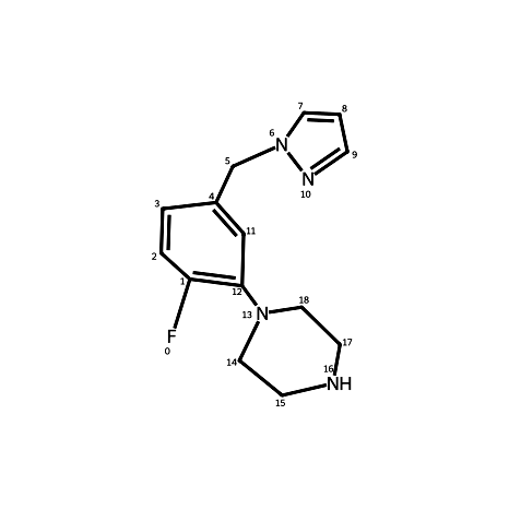 Fc1ccc(Cn2cccn2)cc1N1CCNCC1